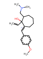 C=CC1(O)/C(=C/c2ccc(OC)cc2)CCCCC1CN(C)C